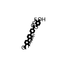 O=C(Oc1ccc(O)c(F)c1F)C1CC=C(c2ccc(-c3ccc(C4CO4)c(F)c3F)c(F)c2F)CC1